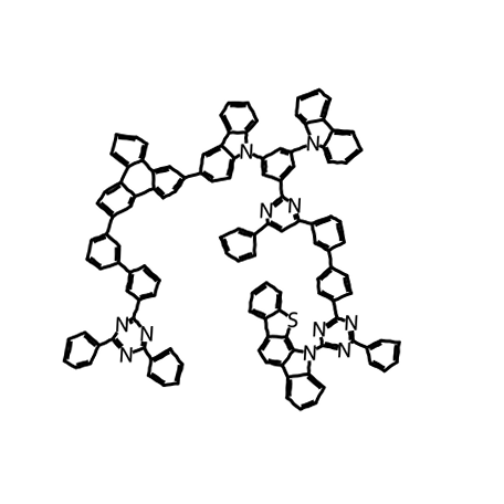 c1ccc(-c2cc(-c3cccc(-c4ccc(-c5nc(-c6ccccc6)nc(-n6c7ccccc7c7ccc8c9ccccc9sc8c76)n5)cc4)c3)nc(-c3cc(-n4c5ccccc5c5ccccc54)cc(-n4c5ccccc5c5cc(-c6ccc7c8cc(-c9cccc(-c%10cccc(-c%11nc(-c%12ccccc%12)nc(-c%12ccccc%12)n%11)c%10)c9)ccc8c8ccccc8c7c6)ccc54)c3)n2)cc1